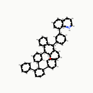 c1ccc(-c2cccc(-c3ccccc3)c2-c2cccc(-c3c4ccccc4c(-c4cccc(-c5cccc6cccnc56)c4)c4ccccc34)c2)cc1